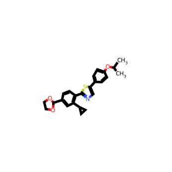 CC(C)Oc1ccc(-c2cnc(-c3ccc(C4OCCO4)cc3C3CC3)s2)cc1